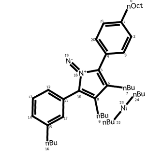 CCCCCCCCc1ccc(C2=C(CCCC)C(CCCC)=C(c3cccc(CCCC)c3)[N+]2=[N-])cc1.CCC[CH2][Ni][CH2]CCC